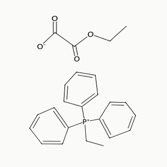 CCOC(=O)C(=O)[O-].CC[P+](c1ccccc1)(c1ccccc1)c1ccccc1